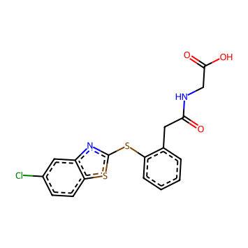 O=C(O)CNC(=O)Cc1ccccc1Sc1nc2cc(Cl)ccc2s1